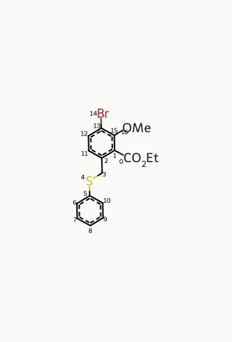 CCOC(=O)c1c(CSc2ccccc2)ccc(Br)c1OC